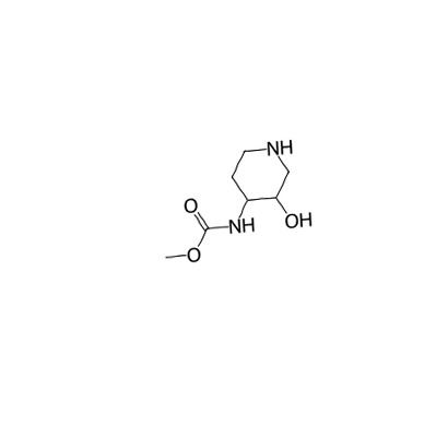 COC(=O)NC1CCNCC1O